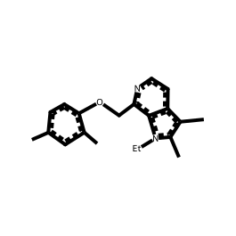 CCn1c(C)c(C)c2ccnc(COc3ccc(C)cc3C)c21